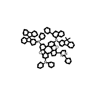 CC1(C)c2ccccc2-c2ccc(N(c3cc(-c4ccccc4)cc4ccccc34)c3ccc4c5cc(N(c6ccccc6)c6ccc7c(c6)C6(c8ccccc8-c8ccccc86)c6ccccc6-7)cc6oc7cc(N(c8ccccc8)c8ccccc8)cc(c8ccc(-c9ccnc(-c%10ccccc%10)n9)c9oc3c4c98)c7c65)cc21